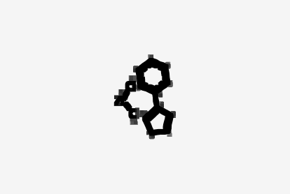 [CH]1C=CC(c2ccccc2)=C1.[Cl][Zr][Cl]